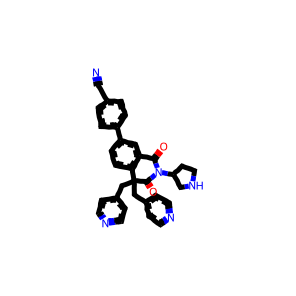 N#Cc1ccc(-c2ccc3c(c2)C(=O)N(C2CCNC2)C(=O)C3(Cc2ccncc2)Cc2ccncc2)cc1